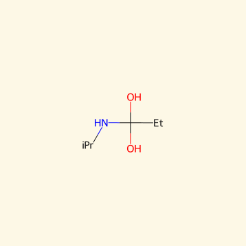 CCC(O)(O)NC(C)C